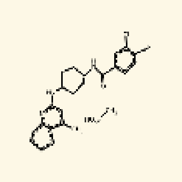 CS(=O)(=O)O.Cc1cc(NC2CCC(NC(=O)c3ccc(F)c(Cl)c3)CC2)nc2ccccc12